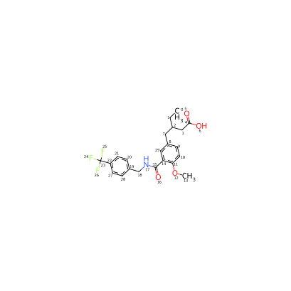 CCC(CC(=O)O)Cc1ccc(OC)c(C(=O)NCc2ccc(C(F)(F)F)cc2)c1